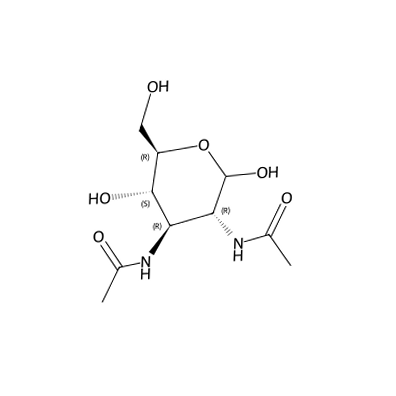 CC(=O)N[C@H]1[C@H](O)[C@@H](CO)OC(O)[C@@H]1NC(C)=O